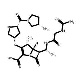 C[C@@H](NC(=O)CNC(=N)N)[C@H]1C(=O)N2C(C(=O)O)=C(S[C@@H]3CN[C@H](C(=O)N4CC[C@H](N)C4)C3)[C@H](C)[C@H]12